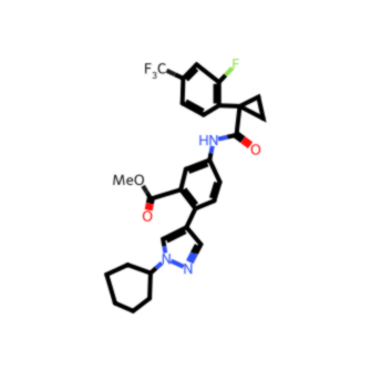 COC(=O)c1cc(NC(=O)C2(c3ccc(C(F)(F)F)cc3F)CC2)ccc1-c1cnn(C2CCCCC2)c1